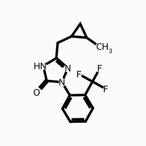 CC1CC1Cc1nn(-c2ccccc2C(F)(F)F)c(=O)[nH]1